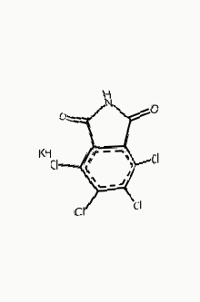 O=C1NC(=O)c2c(Cl)c(Cl)c(Cl)c(Cl)c21.[KH]